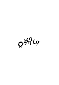 Cc1nc(-c2cccnc2)sc1N(C)C(=O)C(C)C[S+](C)[O-]